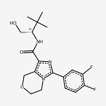 CC(C)(C)[C@@H](CO)NC(=O)c1nc(-c2ccc(F)c(F)c2)n2c1COCC2